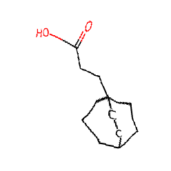 O=C(O)CCC12CCC(CC1)CC2